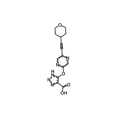 O=C(O)c1nn[nH]c1Oc1cnc(C#CC2CCOCC2)cn1